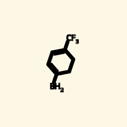 BC1=CC=C(C(F)(F)F)CC1